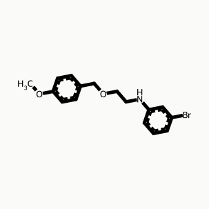 COc1ccc(COCCNc2cccc(Br)c2)cc1